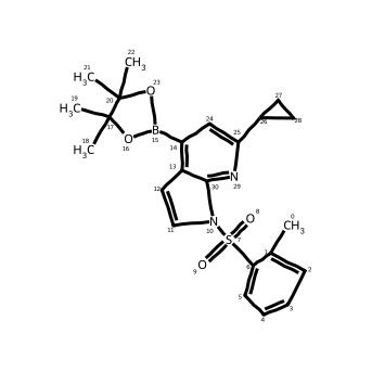 Cc1ccccc1S(=O)(=O)n1ccc2c(B3OC(C)(C)C(C)(C)O3)cc(C3CC3)nc21